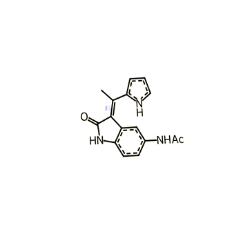 CC(=O)Nc1ccc2c(c1)/C(=C(/C)c1ccc[nH]1)C(=O)N2